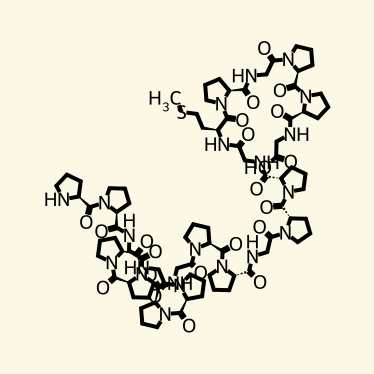 CSCC[C@H](NC(=O)CNC(=O)[C@@H]1CCCN1C(=O)[C@@H]1CCCN1C(=O)CNC(=O)[C@@H]1CCCN1C(=O)[C@@H]1CCCN1C(=O)CNC(=O)[C@@H]1CCCN1C(=O)[C@@H]1CCCN1C(=O)CNC(=O)[C@@H]1CCCN1C(=O)[C@@H]1CCCN1C(=O)CNC(=O)[C@@H]1CCCN1C(=O)[C@@H]1CCCN1)C(=O)N1CCC[C@H]1C(=O)NCC(=O)N1CCC[C@H]1C(=O)N1CCC[C@H]1C(=O)NCC(=O)O